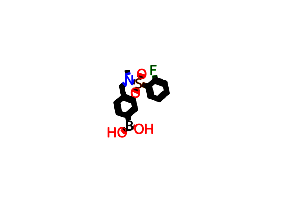 CN(Cc1ccc(B(O)O)cc1)S(=O)(=O)c1ccccc1F